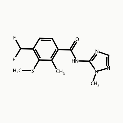 CSc1c(C(F)F)ccc(C(=O)Nc2ncnn2C)c1C